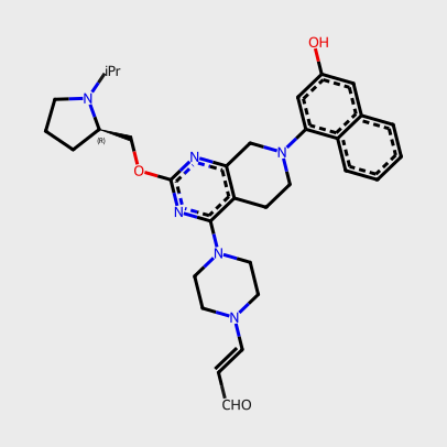 CC(C)N1CCC[C@@H]1COc1nc2c(c(N3CCN(C=CC=O)CC3)n1)CCN(c1cc(O)cc3ccccc13)C2